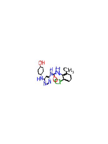 Cc1cccc(Cl)c1NC(=O)Nc1cc(N[C@H]2CC[C@H](O)CC2)ncn1